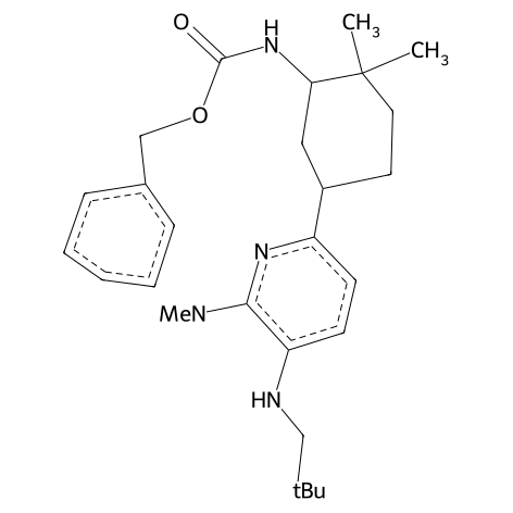 CNc1nc(C2CCC(C)(C)C(NC(=O)OCc3ccccc3)C2)ccc1NCC(C)(C)C